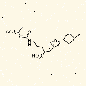 CC(=O)OC(C)OC(=O)NCCCC(Cc1cn([C@H]2CC[C@H](C)CC2)cn1)C(=O)O